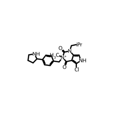 CC(C)CN1C(=O)[N+](C)(Cc2ccc(C3CCCN3)cc2)C(=O)c2c1c[nH]c2Cl